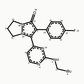 CC(C)(C)CNc1nccc(-c2c(-c3ccc(F)cc3)c(=O)n3n2CCC3)n1